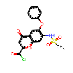 CS(=O)(=O)Nc1cc2oc(C(=O)Cl)cc(=O)c2cc1Oc1ccccc1